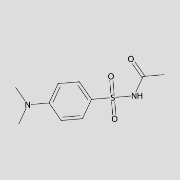 CC(=O)NS(=O)(=O)c1ccc(N(C)C)cc1